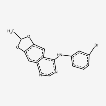 CC1Oc2cc3ncnc(Nc4cccc(Br)c4)c3cc2O1